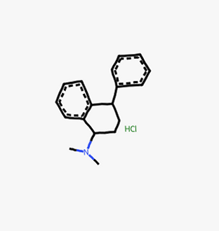 CN(C)C1CCC(c2ccccc2)c2ccccc21.Cl